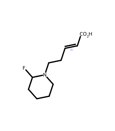 O=C(O)/C=C/CCN1CCCCC1F